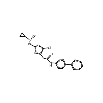 O=C(Cc1nc(N[S+]([O-])C2CC2)sc1Cl)Nc1ccc(-c2ccccc2)cc1